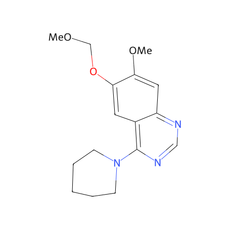 COCOc1cc2c(N3CCCCC3)ncnc2cc1OC